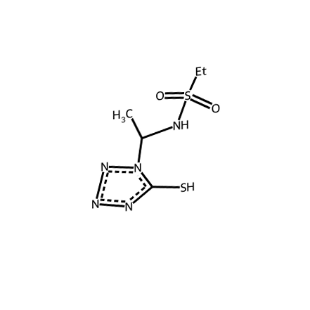 CCS(=O)(=O)NC(C)n1nnnc1S